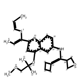 C/C=C\S/C(=C\C)c1cc(OC(C)(C)COC)c2cc(NC(=C3CCC3)C3COC3)ccc2n1